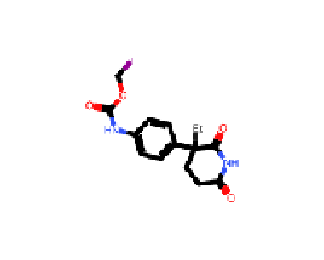 CCC1(c2ccc(NC(=O)OCI)cc2)CCC(=O)NC1=O